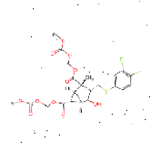 CC(C)OC(=O)OCOC(=O)[C@H]1[C@@H]2[C@H](O)[C@@H](CSc3ccc(F)c(F)c3)[C@@](C)(C(=O)OCOC(=O)OC(C)C)[C@H]12